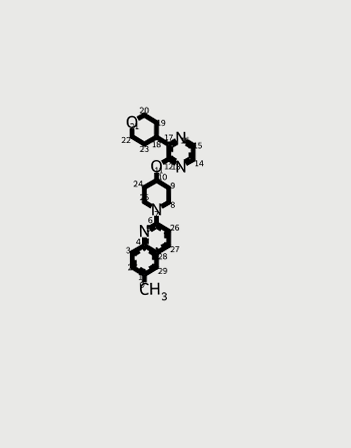 Cc1ccc2nc(N3CCC(Oc4nccnc4C4CCOCC4)CC3)ccc2c1